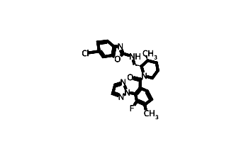 Cc1ccc(C(=O)N2CCC[C@@H](C)[C@H]2CNc2nc3ccc(Cl)cc3o2)c(-n2nccn2)c1F